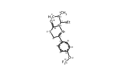 CCC(N(C)C)N1N=C(c2ccc(OC(F)(F)F)cc2)CSC1=O